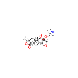 CCC(CC)(CO[C@H]1[C@H](OC)C[C@@]23COC[C@@]1(C)[C@@H]2CC[C@H]1C3=CC[C@@]2(C)[C@@H]3C(=O)O[C@H](C(C)C)[C@@]3(C)CC[C@]12C)NC